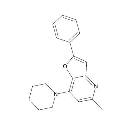 Cc1cc(N2CCCCC2)c2oc(-c3ccccc3)cc2n1